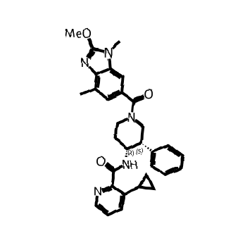 COc1nc2c(C)cc(C(=O)N3CC[C@@H](NC(=O)c4ncccc4C4CC4)[C@@H](c4ccccc4)C3)cc2n1C